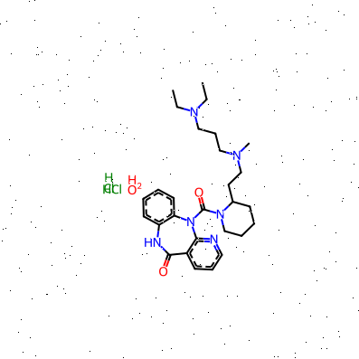 CCN(CC)CCCN(C)CCC1CCCCN1C(=O)N1c2ccccc2NC(=O)c2cccnc21.Cl.Cl.O